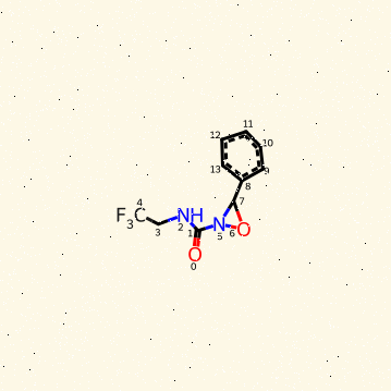 O=C(NCC(F)(F)F)N1OC1c1ccccc1